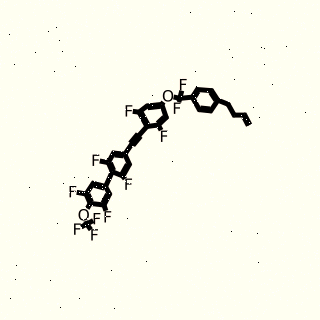 C=CCCc1ccc(C(F)(F)Oc2cc(F)c(C#Cc3cc(F)c(-c4cc(F)c(OC(F)(F)F)c(F)c4)c(F)c3)c(F)c2)cc1